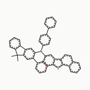 CC1(C)c2ccccc2-c2cc(N(c3ccc(-c4ccccc4)cc3)c3cc4c(cn3)sc3c5ccccc5ccc43)c(-c3ccccc3)cc21